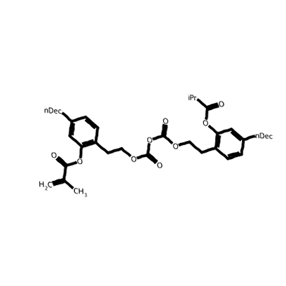 C=C(C)C(=O)Oc1cc(CCCCCCCCCC)ccc1CCOC(=O)OC(=O)OCCc1ccc(CCCCCCCCCC)cc1OC(=O)C(C)C